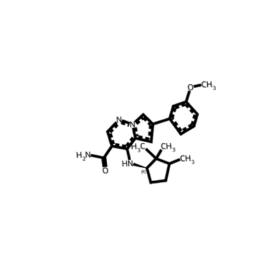 COc1cccc(-c2cc3c(N[C@@H]4CCC(C)C4(C)C)c(C(N)=O)cnn3c2)c1